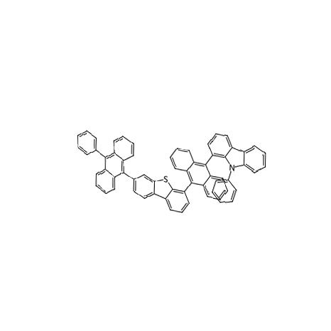 c1ccc(-c2c3ccccc3c(-c3ccc4c(c3)sc3c(-c5c6ccccc6c(-c6cccc7c8ccccc8n(-c8ccccc8)c67)c6ccccc56)cccc34)c3ccccc23)cc1